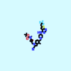 Cc1c(CN2CCC(Nc3ncnc4sc(CC(F)(F)F)cc34)CC2)ccc2c1cc(C#N)n2CC12CC(N(C)C(=O)OC(C)(C)C)(C1)C2